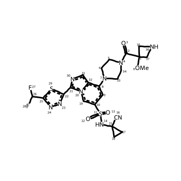 COC1(C(=O)N2CCN(c3cc(S(=O)(=O)NC4(C#N)CC4)cn4c(-c5nnc(C(F)F)s5)ncc34)CC2)CNC1